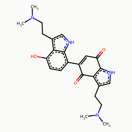 CN(C)CCc1c[nH]c2c1C(=O)C(c1ccc(O)c3c(CCN(C)C)c[nH]c13)=CC2=O